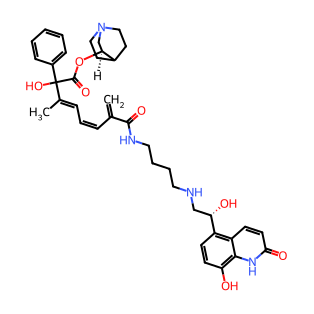 C=C(/C=C\C=C(/C)C(O)(C(=O)O[C@H]1CN2CCC1CC2)c1ccccc1)C(=O)NCCCCNC[C@H](O)c1ccc(O)c2[nH]c(=O)ccc12